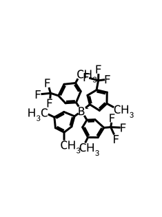 Cc1cc(C)cc([B-](c2cc(C)cc(C(F)(F)F)c2)(c2cc(C)cc(C(F)(F)F)c2)c2cc(C)cc(C(F)(F)F)c2)c1